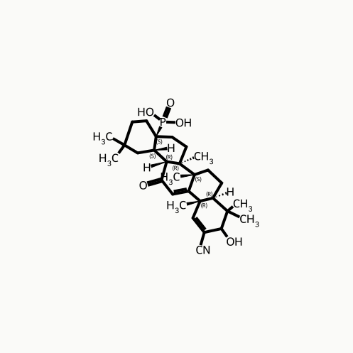 CC1(C)CC[C@]2(P(=O)(O)O)CC[C@]3(C)[C@H](C(=O)C=C4[C@@]5(C)C=C(C#N)C(O)C(C)(C)[C@@H]5CC[C@]43C)[C@@H]2C1